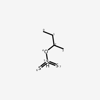 CCC(C)O[SH](=S)=S